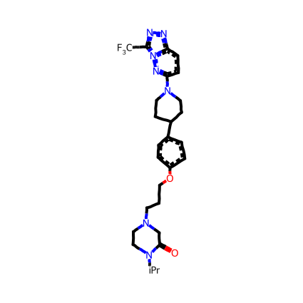 CC(C)N1CCN(CCCOc2ccc(C3CCN(c4ccc5nnc(C(F)(F)F)n5n4)CC3)cc2)CC1=O